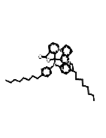 CCCCCCCCc1ccc(N(c2ccc(CCCCCCCC)cc2)C2(c3c(C)n(CC)c4ccccc34)OC(=O)c3cccnc32)cc1